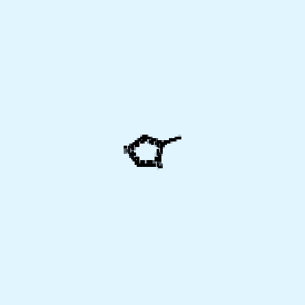 Cc1cnc[se]1